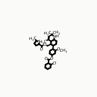 COc1cc(OC(=O)c2ccccc2Cl)ccc1-c1ccc2c(c1COC(=O)c1ccc(C)s1)C(C)=CC(C)(C)N2